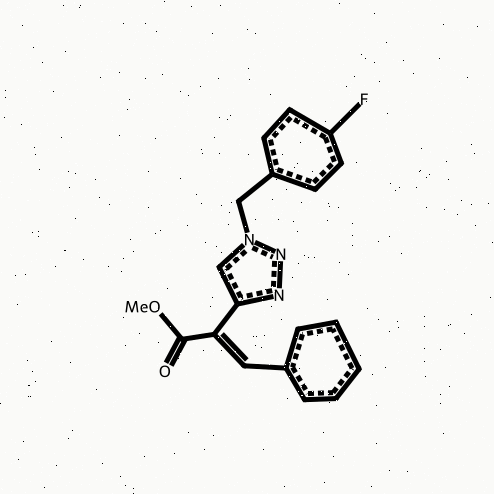 COC(=O)C(=Cc1ccccc1)c1cn(Cc2ccc(F)cc2)nn1